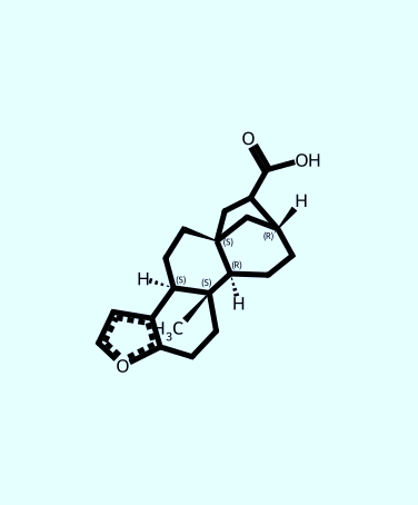 C[C@@]12CCc3occc3[C@H]1CC[C@]13CC(C(=O)O)[C@H](CC[C@H]12)C3